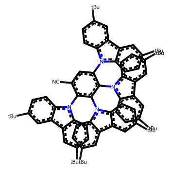 CC(C)(C)c1ccc2c(c1)c1cc(C(C)(C)C)ccc1n2-c1cc(C#N)c(-n2c3ccc(C(C)(C)C)cc3c3cc(C(C)(C)C)ccc32)c(-n2c3ccc(C(C)(C)C)cc3c3cc(C(C)(C)C)ccc32)c1-n1c2ccc(C(C)(C)C)cc2c2cc(C(C)(C)C)ccc21